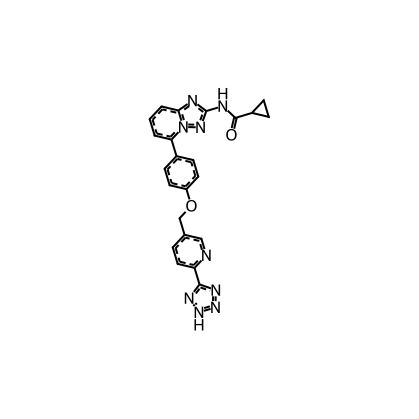 O=C(Nc1nc2cccc(-c3ccc(OCc4ccc(-c5nn[nH]n5)nc4)cc3)n2n1)C1CC1